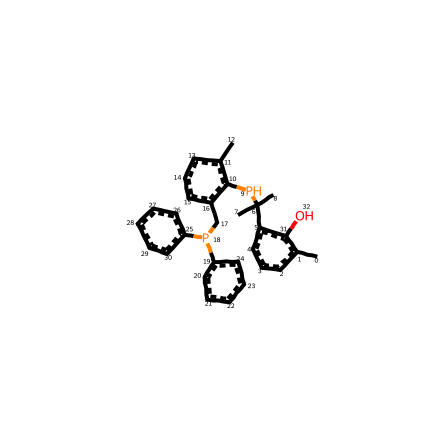 Cc1cccc(C(C)(C)Pc2c(C)cccc2CP(c2ccccc2)c2ccccc2)c1O